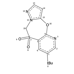 CC(C)(C)c1cnc2c(c1)S(=O)(=O)Cn1nccc1O2